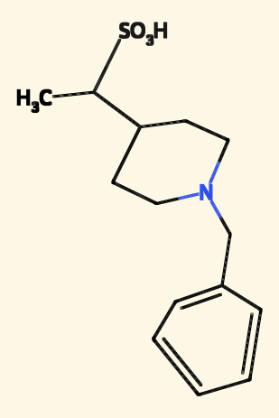 CC(C1CCN(Cc2ccccc2)CC1)S(=O)(=O)O